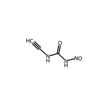 C#CNC(=O)NN=O